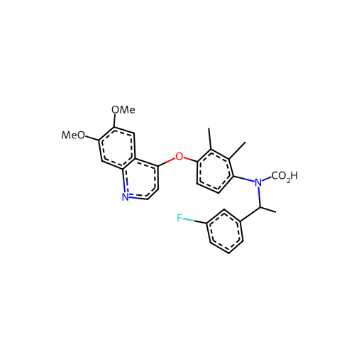 COc1cc2nccc(Oc3ccc(N(C(=O)O)C(C)c4cccc(F)c4)c(C)c3C)c2cc1OC